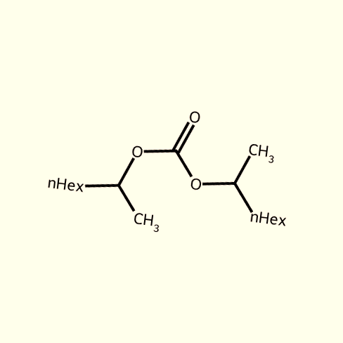 CCCCCCC(C)OC(=O)OC(C)CCCCCC